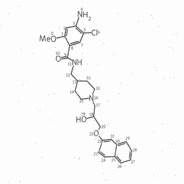 COc1cc(N)c(Cl)cc1C(=O)NCC1CCN(CC(O)COc2ccc3ccccc3c2)CC1